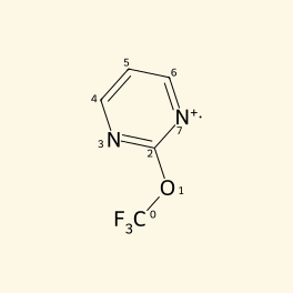 FC(F)(F)OC1=NC=CC=[N+]1